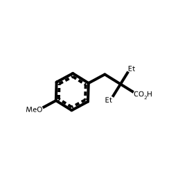 CCC(CC)(Cc1ccc(OC)cc1)C(=O)O